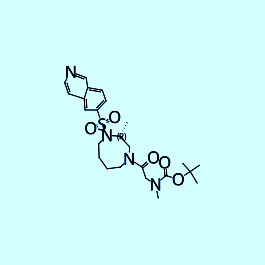 C[C@@H]1CN(C(=O)CN(C)C(=O)OC(C)(C)C)CCCCN1S(=O)(=O)c1ccc2cnccc2c1